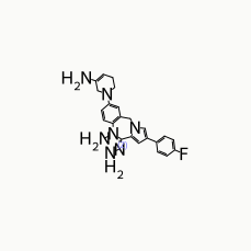 N/N=C1/c2cc(-c3ccc(F)cc3)cn2Cc2cc(N3CCC=C(N)C3)ccc2N1N